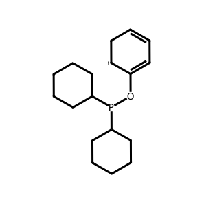 [C]1CC=CC=C1OP(C1CCCCC1)C1CCCCC1